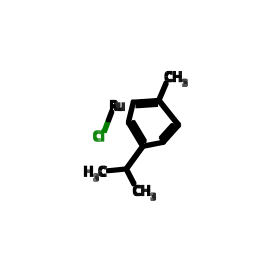 Cc1ccc(C(C)C)cc1.[Cl][Ru]